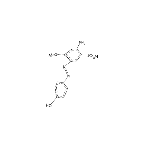 COc1cc(N)c(S(=O)(=O)O)cc1N=Nc1ccc(O)cc1